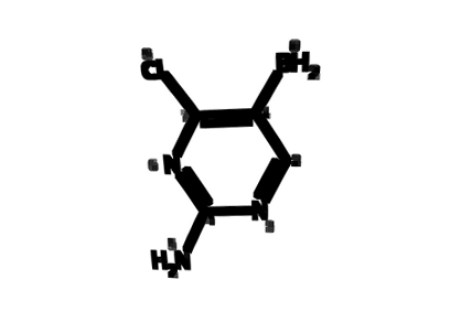 Bc1cnc(N)nc1Cl